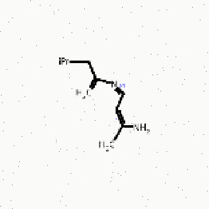 C=C(CC(C)C)/N=C\C=C(\C)N